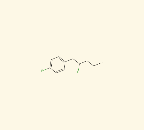 [CH2]CCC(F)Cc1ccc(F)cc1